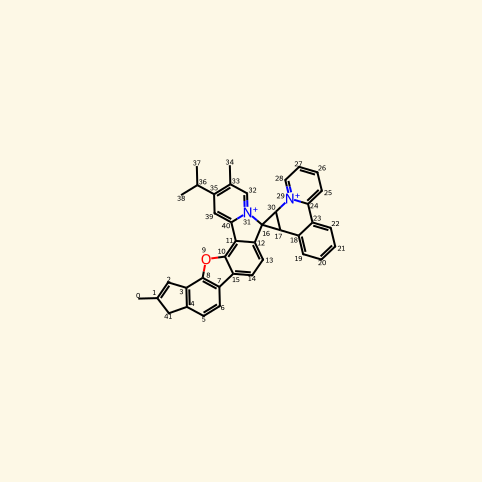 CC1=Cc2c(ccc3c2oc2c4c(ccc23)C2(C3c5ccccc5-c5cccc[n+]5C32)[n+]2cc(C)c(C(C)C)cc2-4)C1